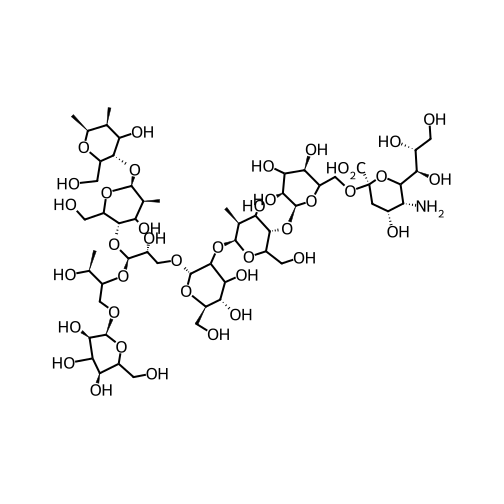 C[C@H](O)C(CO[C@H]1OC(CO)[C@@H](O)C(O)[C@H]1O)O[C@@H](O[C@@H]1C(CO)O[C@@H](O[C@@H]2C(CO)O[C@@H](C)[C@@H](C)C2O)[C@@H](C)C1O)[C@H](O)CO[C@H]1O[C@H](CO)[C@@H](O)C(O)C1O[C@@H]1OC(CO)[C@@H](O[C@@H]2OC(CO[C@]3(C(=O)O)C[C@@H](O)[C@@H](N)C([C@H](O)[C@H](O)CO)O3)[C@H](O)C(O)[C@@H]2O)C(O)[C@@H]1C